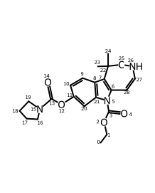 CCOC(=O)n1c2c(c3ccc(OC(=O)N4CCCC4)cc31)C(C)(C)CNC=C2